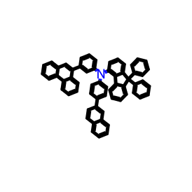 c1ccc(C2(c3ccccc3)c3ccccc3-c3c(N(c4ccc(-c5ccc6ccccc6c5)cc4)c4cccc(-c5cc6ccccc6c6ccccc56)c4)cccc32)cc1